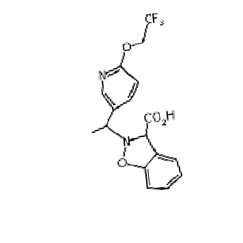 CC(c1ccc(OCC(F)(F)F)nc1)N1Oc2ccccc2C1C(=O)O